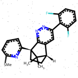 CSc1cccc([C@@]23CC[C@@H](c4cc(-c5c(F)cccc5F)nnc42)C3(C)C)n1